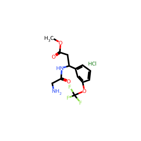 COC(=O)CC(NC(=O)CN)c1cccc(OC(F)(F)F)c1.Cl